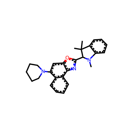 CN1c2ccccc2C(C)(C)C1c1nc2c(cc(N3CCCCC3)c3ccccc32)o1